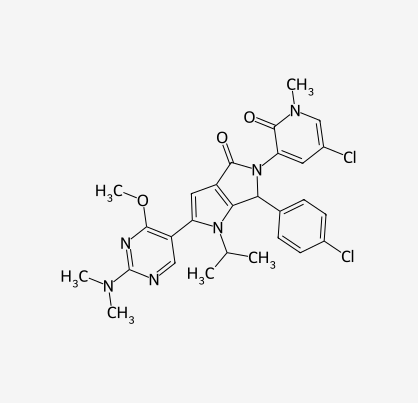 COc1nc(N(C)C)ncc1-c1cc2c(n1C(C)C)C(c1ccc(Cl)cc1)N(c1cc(Cl)cn(C)c1=O)C2=O